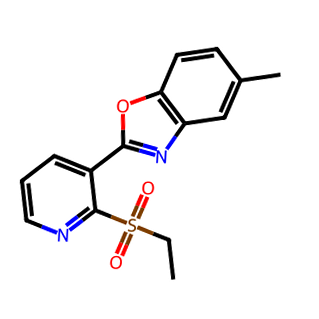 CCS(=O)(=O)c1ncccc1-c1nc2cc(C)ccc2o1